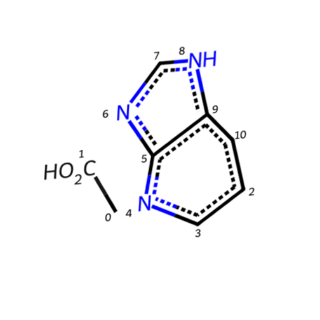 CC(=O)O.c1cnc2nc[nH]c2c1